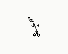 O=C(COCc1ccc(F)cc1)NCCCCC1CN(C(c2ccccc2)c2ccccc2)C1